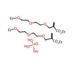 C=C(COCCOCCOCC)C(=O)OCC.C=C(COCCOCCOCC)C(=O)OCC.O=P(O)(O)O